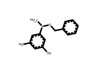 O=C(O)N(OCc1ccccc1)c1cc(O)cc(O)c1